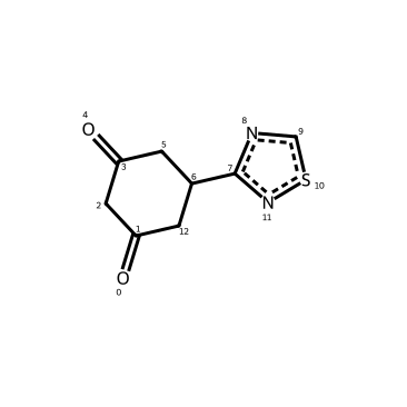 O=C1CC(=O)CC(c2ncsn2)C1